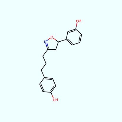 Oc1ccc(CCCC2=NOC(c3cccc(O)c3)C2)cc1